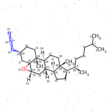 CC(C)CCC[C@@H](C)[C@H]1CC[C@H]2[C@@H]3C[C@@H]4OC45C[C@@H](N=[N+]=[N-])CC[C@]5(C)[C@H]3CC[C@]12C